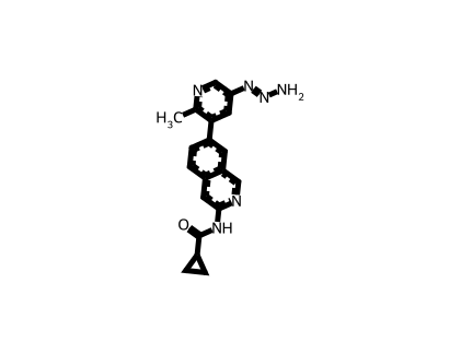 Cc1ncc(N=NN)cc1-c1ccc2cc(NC(=O)C3CC3)ncc2c1